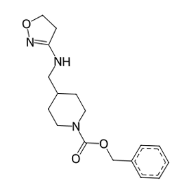 O=C(OCc1ccccc1)N1CCC(CNC2=NOCC2)CC1